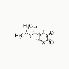 CCCC(CC)C1=CC(=O)C(=O)C=C1